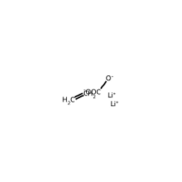 C=C.O=C([O-])[O-].[Li+].[Li+]